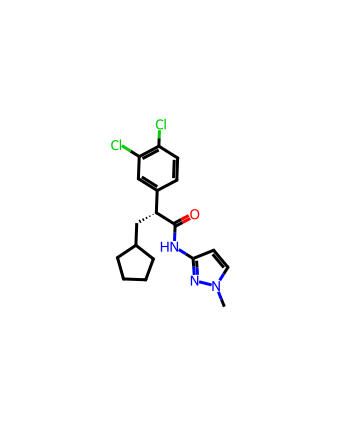 Cn1ccc(NC(=O)[C@H](CC2CCCC2)c2ccc(Cl)c(Cl)c2)n1